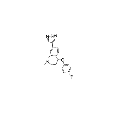 CN1CCC(Oc2ccc(F)cc2)c2ccc(-c3cn[nH]c3)cc2C1